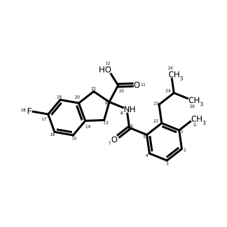 Cc1cccc(C(=O)NC2(C(=O)O)Cc3ccc(F)cc3C2)c1CC(C)C